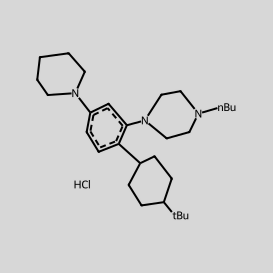 CCCCN1CCN(c2cc(N3CCCCC3)ccc2C2CCC(C(C)(C)C)CC2)CC1.Cl